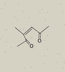 CC(=O)C=C(C)C(C)=O